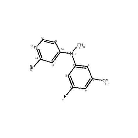 CN(c1cc(F)cc(C(F)(F)F)c1)c1ccnc(Br)c1